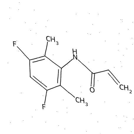 C=CC(=O)Nc1c(C)c(F)cc(F)c1C